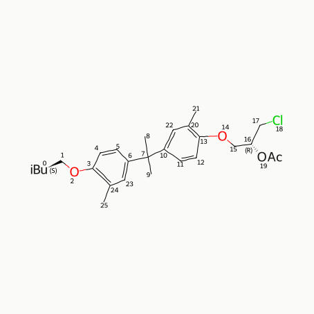 CC[C@H](C)COc1ccc(C(C)(C)c2ccc(OC[C@H](CCl)OC(C)=O)c(C)c2)cc1C